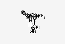 CCOc1cc(S(C)(=O)=O)ccc1NCC#Cc1cc(C(=O)N[C@@H]2[C@@H](C)CN(C3CCOCC3)C[C@@H]2F)c2ncn(CC(F)(F)F)c2c1